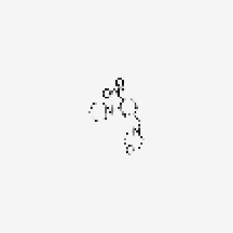 O=[N+]([O-])c1ccc(CN2CCOCC2)cc1N1CCCCC1